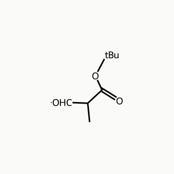 CC([C]=O)C(=O)OC(C)(C)C